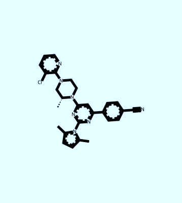 Cc1ccc(C)n1-c1nc(-c2ccc(C#N)cc2)cc(N2CCN(c3ncccc3Cl)C[C@H]2C)n1